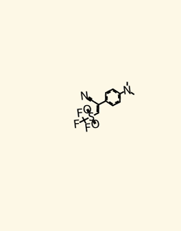 CN(C)c1ccc(C(C#N)=CS(=O)(=O)C(F)(F)F)cc1